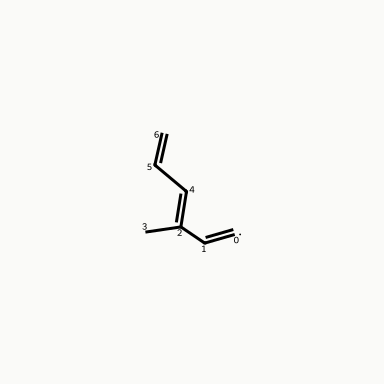 [CH]=CC(C)=CC=C